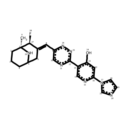 C[C@]12CCCC(C/C(=C\c3cnc(-c4cnc(-n5ccnc5)cc4O)nn3)[C@@H]1F)N2